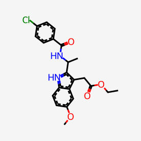 CCOC(=O)Cc1c(C(C)NC(=O)c2ccc(Cl)cc2)[nH]c2ccc(OC)cc12